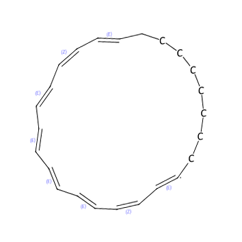 [C]1=C/C=C\C=C\C=C\C=C\C=C\C=C/C=C/CCCCCCCC/1